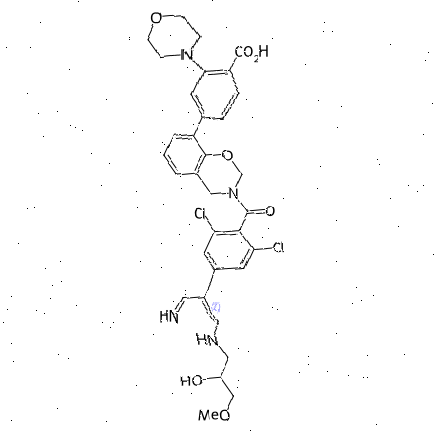 COCC(O)CN/C=C(\C=N)c1cc(Cl)c(C(=O)N2COc3c(cccc3-c3ccc(C(=O)O)c(N4CCOCC4)c3)C2)c(Cl)c1